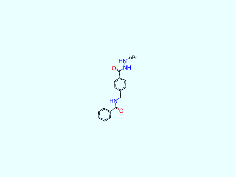 CCCNNC(=O)c1ccc(CNC(=O)c2ccccc2)cc1